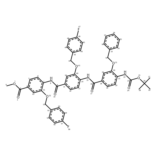 COC(=O)c1ccc(NC(=O)c2ccc(NC(=O)c3ccc(NC(=O)OC(C)(C)C)c(OCc4ccccc4)c3)c(OCc3ccc(F)cc3)c2)c(OCc2ccc(F)cc2)c1